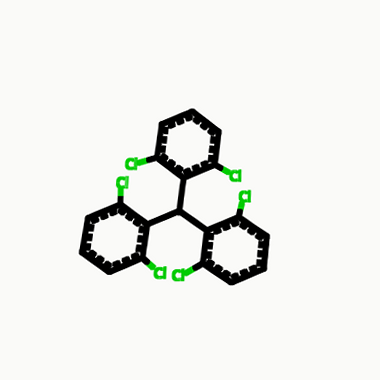 Clc1cccc(Cl)c1[C](c1c(Cl)cccc1Cl)c1c(Cl)cccc1Cl